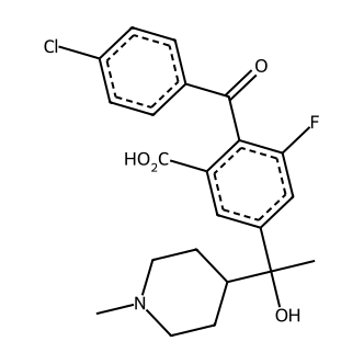 CN1CCC(C(C)(O)c2cc(F)c(C(=O)c3ccc(Cl)cc3)c(C(=O)O)c2)CC1